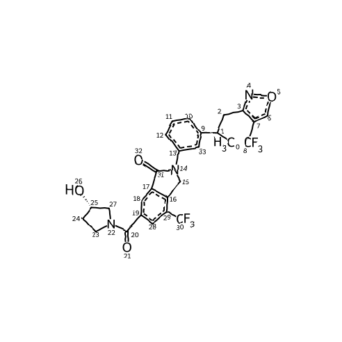 CC(Cc1nocc1C(F)(F)F)c1cccc(N2Cc3c(cc(C(=O)N4CC[C@H](O)C4)cc3C(F)(F)F)C2=O)c1